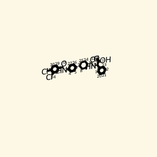 O=C(Nc1ccc([C@H]2CC[C@@H](C(=O)N[C@H](C(=O)O)c3ccccc3)CC2)cc1)c1ccc(Cl)c(Cl)c1